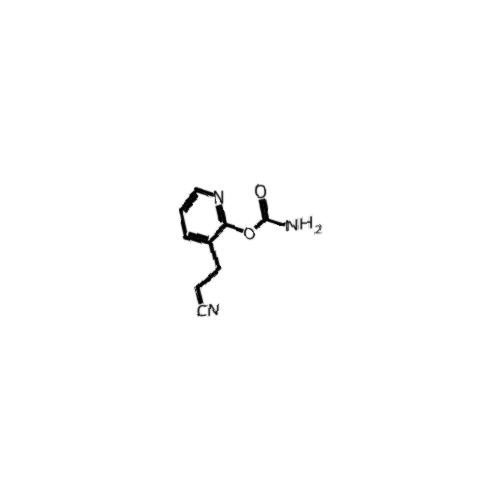 N#CCCc1cccnc1OC(N)=O